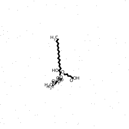 CCCCCCCCCCCCCCCCC(O)C(COP(=O)([O-])OCC[N+](C)(C)C)OCCCCC(=O)O